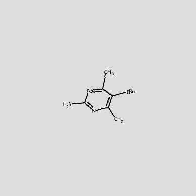 Cc1nc(N)nc(C)c1C(C)(C)C